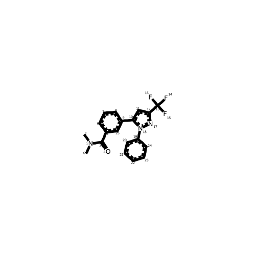 CN(C)C(=O)c1cccc(-c2cc(C(F)(F)F)nn2-c2ccccc2)c1